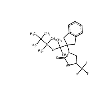 CC(C)(O[Si](C)(C)C(C)(C)C)C1(N2CC(C(F)(F)F)NC2=O)Cc2ccccc2C1